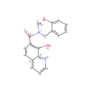 CN(Cc1ccccc1Br)C(=O)c1ccc2cccnc2c1O